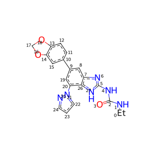 CCNC(=O)Nc1nc2cc(-c3ccc4c(c3)OCO4)cc(-n3cccn3)c2[nH]1